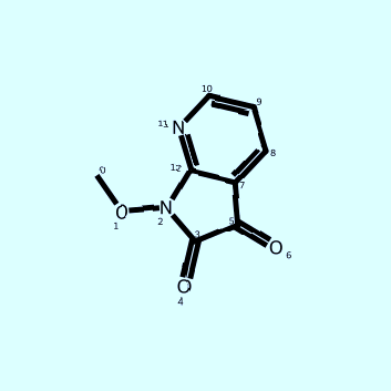 CON1C(=O)C(=O)c2cccnc21